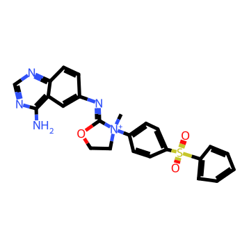 C[N+]1(c2ccc(S(=O)(=O)c3ccccc3)cc2)CCOC1=Nc1ccc2ncnc(N)c2c1